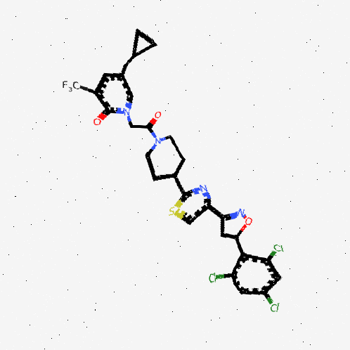 O=C(Cn1cc(C2CC2)cc(C(F)(F)F)c1=O)N1CCC(c2nc(C3=NOC(c4c(Cl)cc(Cl)cc4Cl)C3)cs2)CC1